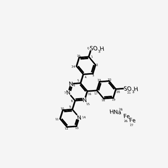 O=S(=O)(O)c1ccc(-c2nnc(-c3ccccn3)nc2-c2ccc(S(=O)(=O)O)cc2)cc1.[Fe].[Fe].[NaH]